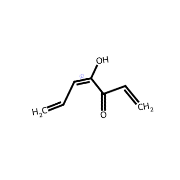 C=C/C=C(/O)C(=O)C=C